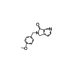 COc1ccc(CN2Cc3ccncc3C2=O)cc1